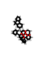 CC1(C)c2ccccc2-c2ccc(N(c3ccc4c(c3)C3(c5ccccc5-4)C4CC5CC(C4)C3C5)c3ccccc3-c3cccc(C4CCCCC4)c3)cc21